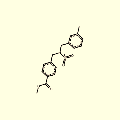 COC(=O)c1ccc(CN(Cc2cccc(C)c2)[SH](=O)=O)nc1